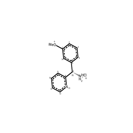 COc1cccc([C@H](N)c2ccccn2)c1.Cl